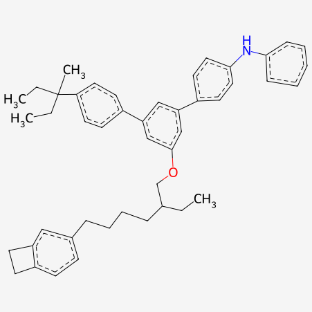 CCC(CCCCc1ccc2c(c1)CC2)COc1cc(-c2ccc(Nc3ccccc3)cc2)cc(-c2ccc(C(C)(CC)CC)cc2)c1